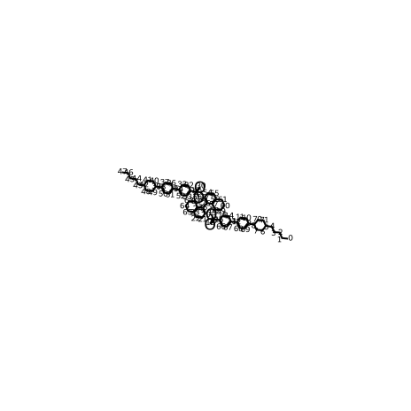 CCCCCC1CCC(c2ccc(-c3ccc(C(=O)Oc4ccc5c(c4-c4c(OC(=O)c6ccc(-c7ccc(C8CCC(CCCCC)CC8)cc7)cc6)ccc6c4CCCC6)CCCC5)cc3)cc2)CC1